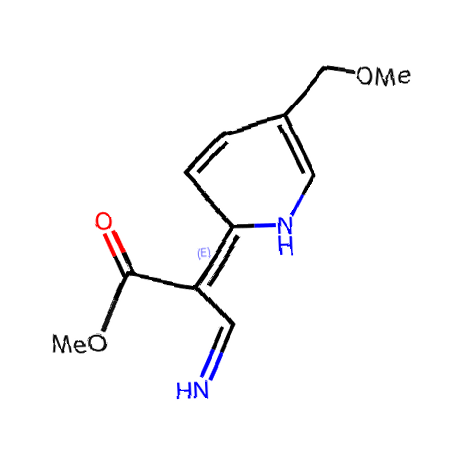 COCC1=CN/C(=C(\C=N)C(=O)OC)C=C1